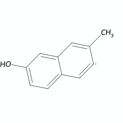 Cc1[c]cc2ccc(O)cc2c1